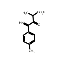 Cc1ccc(C(=N)C(=O)C(C)C(=O)O)cc1